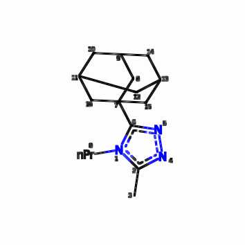 CCCn1c(C)nnc1C12CC3CC(CC(C3)C1)C2